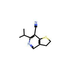 CC(C)c1ncc2c(c1C#N)SCC2